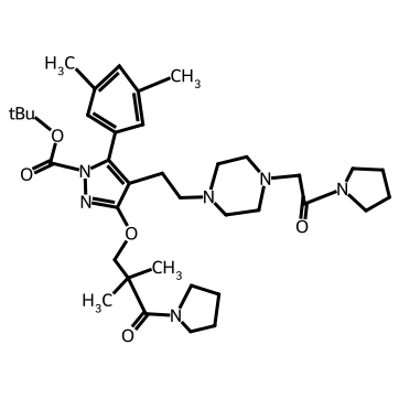 Cc1cc(C)cc(-c2c(CCN3CCN(CC(=O)N4CCCC4)CC3)c(OCC(C)(C)C(=O)N3CCCC3)nn2C(=O)OC(C)(C)C)c1